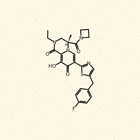 CCN1C[C@](C)(C(=O)N2CCC2)n2cc(-c3ncc(Cc4ccc(F)cc4)s3)c(=O)c(O)c2C1=O